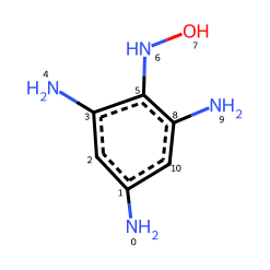 Nc1cc(N)c(NO)c(N)c1